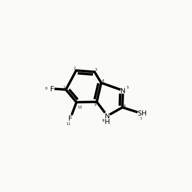 Fc1ccc2nc(S)[nH]c2c1F